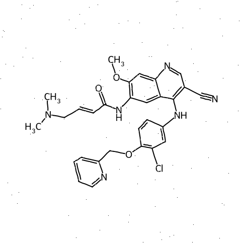 COc1cc2ncc(C#N)c(Nc3ccc(OCc4ccccn4)c(Cl)c3)c2cc1NC(=O)/C=C/CN(C)C